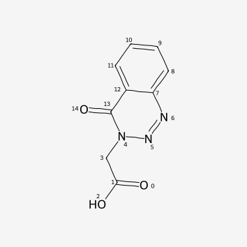 O=C(O)Cn1nnc2ccccc2c1=O